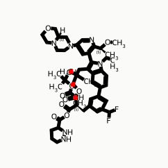 CCn1c(-c2cc(N3CCN4CCOC[C@@H]4C3)cnc2[C@H](C)OC)c(CC(C)(C)COC(C)=O)c2cc(-c3cc(C[C@H](NC(=O)OC(C)(C)C)C(=O)OC(=O)C4CCCNN4)cc(C(F)F)c3)ccc21